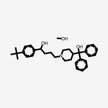 CC(C)(C)c1ccc(C(O)CCCN2CCC(C(O)(c3ccccc3)c3ccccc3)CC2)cc1.CO